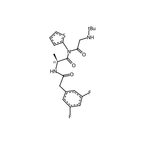 C[C@H](NC(=O)Cc1cc(F)cc(F)c1)C(=O)N(C(=O)CNC(C)(C)C)c1cccs1